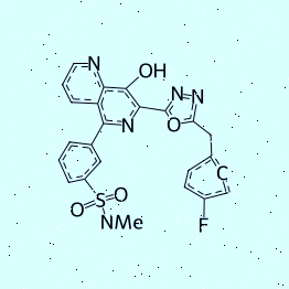 CNS(=O)(=O)c1cccc(-c2nc(-c3nnc(Cc4ccc(F)cc4)o3)c(O)c3ncccc23)c1